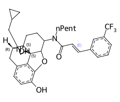 CCCCCN(C(=O)/C=C/c1cccc(C(F)(F)F)c1)C1CC[C@@]2(O)[C@H]3Cc4ccc(O)c5c4[C@@]2(CCN3CC2CC2)C1O5